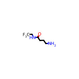 NCCCC(=O)NCC(F)(F)F